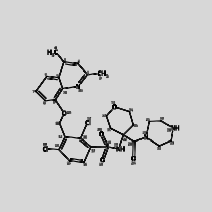 Cc1cc(C)c2cccc(OCc3c(Cl)ccc(S(=O)(=O)NC4(C(=O)N5CCNCC5)CCOCC4)c3Cl)c2n1